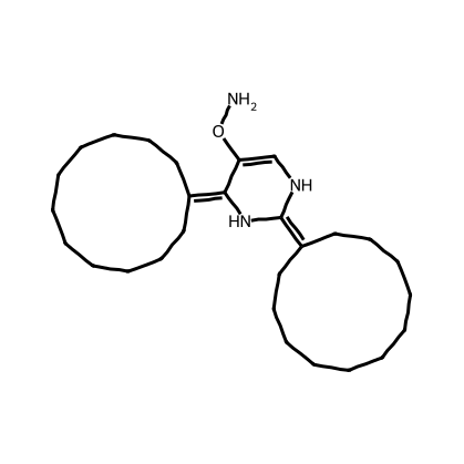 NOC1=CNC(=C2CCCCCCCCCCC2)NC1=C1CCCCCCCCCCC1